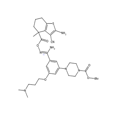 CN(C)CCCOc1cc(/C(N)=N/OC(=O)C2(C)CCCc3sc(N)c(C#N)c32)cc(N2CCN(C(=O)OC(C)(C)C)CC2)c1